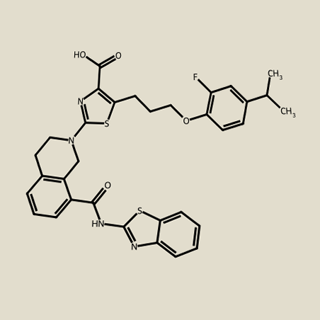 CC(C)c1ccc(OCCCc2sc(N3CCc4cccc(C(=O)Nc5nc6ccccc6s5)c4C3)nc2C(=O)O)c(F)c1